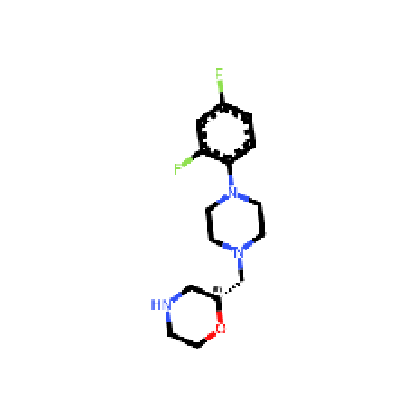 Fc1ccc(N2CCN(C[C@H]3CNCCO3)CC2)c(F)c1